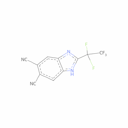 N#Cc1cc2nc(C(F)(F)C(F)(F)F)[nH]c2cc1C#N